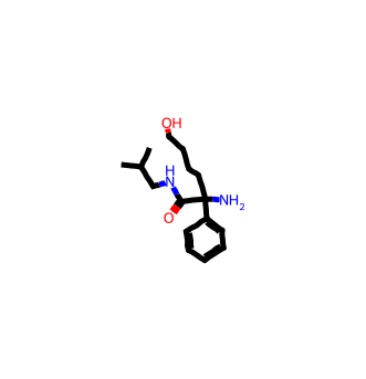 CC(C)CNC(=O)C(N)(CCCCO)c1ccccc1